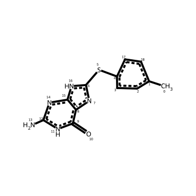 Cc1ccc(Sc2nc3c(=O)[nH]c(N)nc3[nH]2)cc1